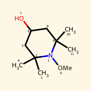 CON1C(C)(C)CC(O)CC1(C)C